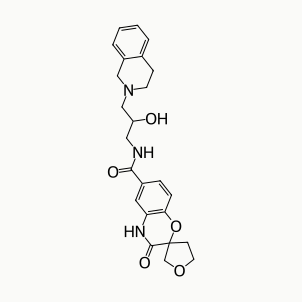 O=C(NCC(O)CN1CCc2ccccc2C1)c1ccc2c(c1)NC(=O)C1(CCOC1)O2